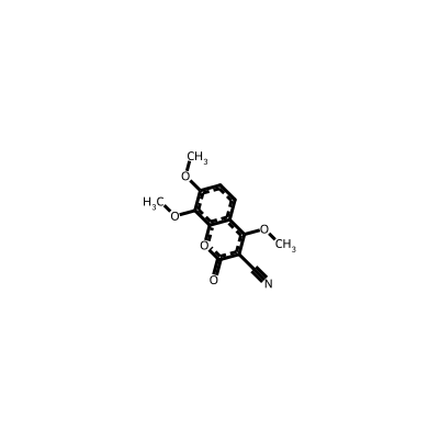 COc1ccc2c(OC)c(C#N)c(=O)oc2c1OC